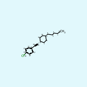 CCCCC[C@H]1CC[C@H](C#Cc2ccc(Cl)cc2)CC1